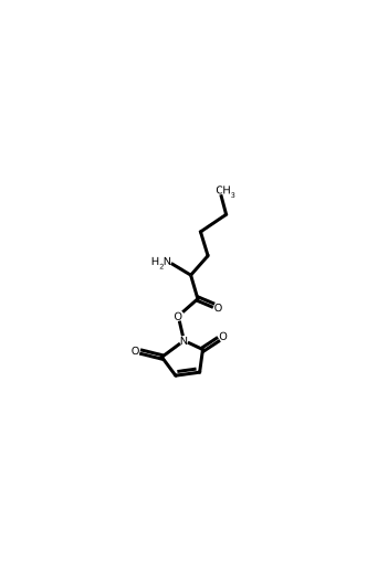 CCCCC(N)C(=O)ON1C(=O)C=CC1=O